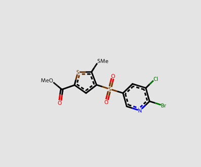 COC(=O)c1cc(S(=O)(=O)c2cnc(Br)c(Cl)c2)c(SC)s1